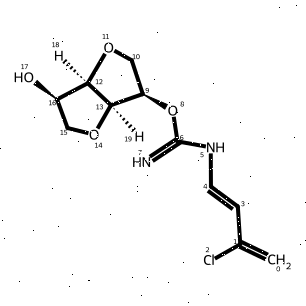 C=C(Cl)/C=C/NC(=N)O[C@@H]1CO[C@H]2[C@@H]1OC[C@H]2O